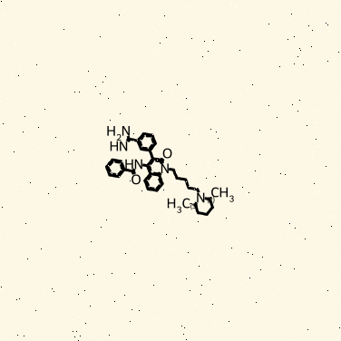 C[C@@H]1CCC[C@H](C)N1CCCCCn1c(=O)c(-c2cccc(C(=N)N)c2)c(NC(=O)c2ccccc2)c2ccccc21